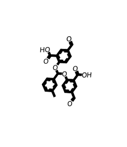 Cc1cccc(C(Oc2ccc(C=O)cc2C(=O)O)Oc2ccc(C=O)cc2C(=O)O)c1